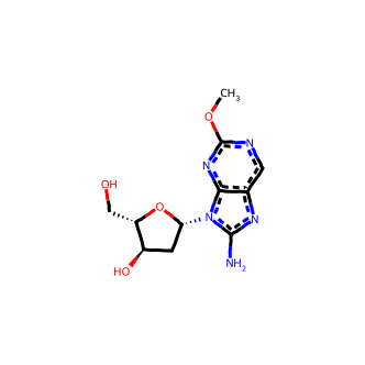 COc1ncc2nc(N)n([C@@H]3C[C@@H](O)[C@H](CO)O3)c2n1